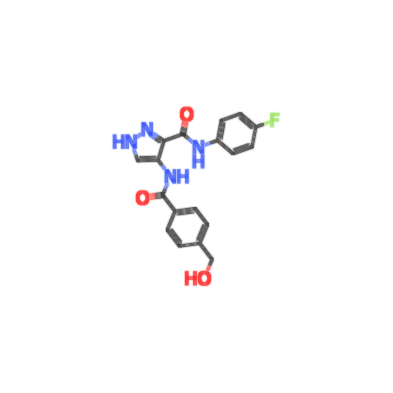 O=C(Nc1c[nH]nc1C(=O)Nc1ccc(F)cc1)c1ccc(CO)cc1